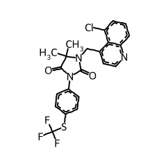 CC1(C)C(=O)N(c2ccc(SC(F)(F)F)cc2)C(=O)N1Cc1ccnc2cccc(Cl)c12